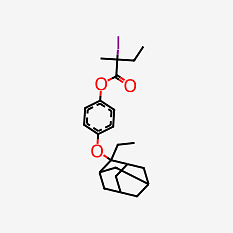 CCC(C)(I)C(=O)Oc1ccc(OC2(CC)C3CC4CC(C3)CC2C4)cc1